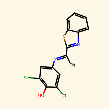 N#C/C(=N\c1cc(Cl)c(O)c(Cl)c1)c1nc2ccccc2s1